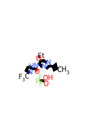 CCOc1cc2nc(C34CC(C)(C3)C4)cn2cc1NC(=O)c1cccc(C(F)(F)F)n1.O=C(O)C(F)(F)F